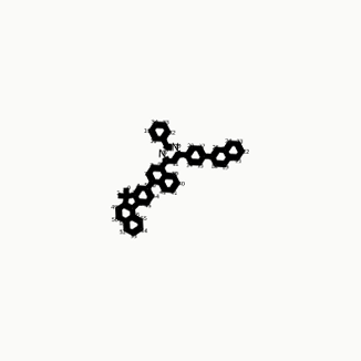 CC1(C)c2cc(-c3ccc(-c4cc(-c5ccc(-c6ccc7ccccc7c6)cc5)nc(-c5ccccc5)n4)c4ccccc34)ccc2-c2c1ccc1ccccc21